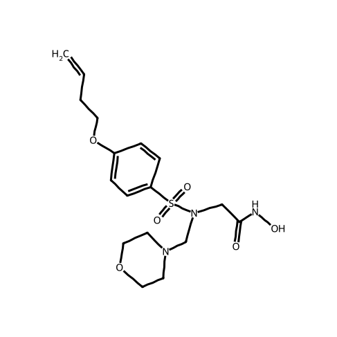 C=CCCOc1ccc(S(=O)(=O)N(CC(=O)NO)CN2CCOCC2)cc1